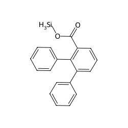 O=C(O[SiH3])c1cccc(-c2ccccc2)c1-c1ccccc1